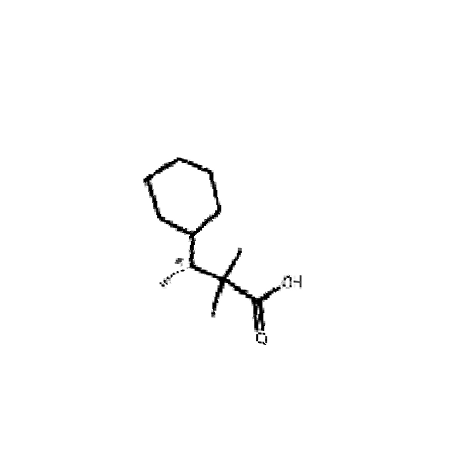 C[C@H](C1CCCCC1)C(C)(C)C(=O)O